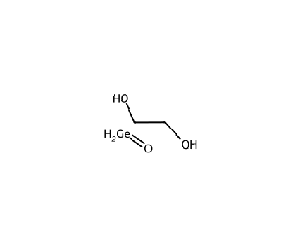 OCCO.[O]=[GeH2]